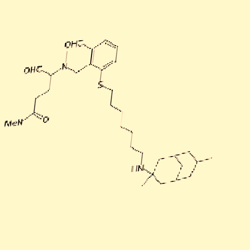 CNC(=O)CCC(C=O)N(C)Cc1c(C=O)cccc1SCCCCCCCNC1(C)CC2CC(C)CC(C2)C1